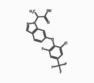 CC(C(=O)O)n1ncc2ccc(Oc3c(F)cc(C(F)(F)F)cc3Cl)cc21